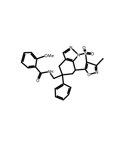 COc1ccccc1C(=O)NCC1(c2ccccc2)Cc2cnn3c2C(C1)c1onc(C)c1S3(=O)=O